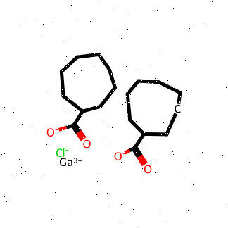 O=C([O-])C1CCCCCCC1.O=C([O-])C1CCCCCCC1.[Cl-].[Ga+3]